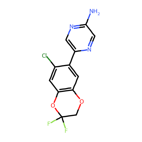 Nc1cnc(-c2cc3c(cc2Cl)OC(F)(F)CO3)cn1